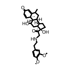 COc1ccc(CCNCC(=O)[C@@]2(O)CC[C@H]3[C@@H]4CC(C)C5=CC(=O)C=C[C@]5(C)[C@H]4C(O)C[C@@]32C)cc1OC